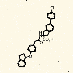 O=C(Cc1ccc(OC2CCc3ccccc32)cc1)NC1(C(=O)O)Cc2ccc(-c3ccc(Cl)cc3)cc2C1